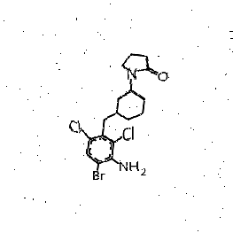 Nc1c(Br)cc(Cl)c(CC2CCCC(N3CCCC3=O)C2)c1Cl